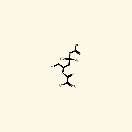 C=C(C)C(=O)OC(CC(C)C)CC(OC(=O)C(C)(C)C)(C(F)(F)F)C(F)(F)F